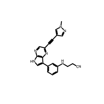 Cn1cc(C#Cc2cnc3[nH]cc(-c4cccc(NCCC#N)c4)c3n2)cn1